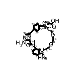 CNCc1cccc2c1OCCOCCOCCN(CC(=O)O)C(=O)c1ccc(cc1)-c1cnc(N)c(n1)C(=O)N2